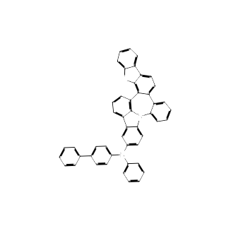 c1ccc(-c2ccc(N(c3ccccc3)c3ccc4c(c3)c3cccc5c3n4-c3ccccc3-c3ccc4c(oc6ccccc64)c3-5)cc2)cc1